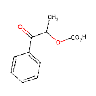 CC(OC(=O)O)C(=O)c1ccccc1